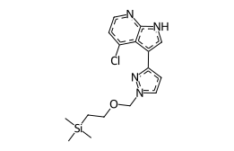 C[Si](C)(C)CCOCn1ccc(-c2c[nH]c3nccc(Cl)c23)n1